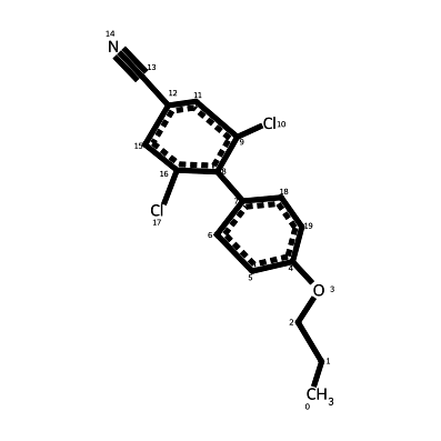 CCCOc1ccc(-c2c(Cl)cc(C#N)cc2Cl)cc1